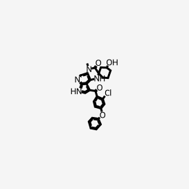 CN1C(=O)C2(CCCC(O)C2)Nc2c1cnc1[nH]cc(C(=O)c3ccc(Oc4ccccc4)cc3Cl)c21